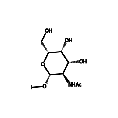 CC(=O)N[C@H]1[C@H](OI)O[C@H](CO)[C@H](O)[C@@H]1O